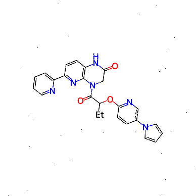 CCC(Oc1ccc(-n2cccc2)cn1)C(=O)N1CC(=O)Nc2ccc(-c3ccccn3)nc21